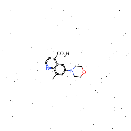 Cc1cc(N2CCOCC2)cc2c(C(=O)O)ccnc12